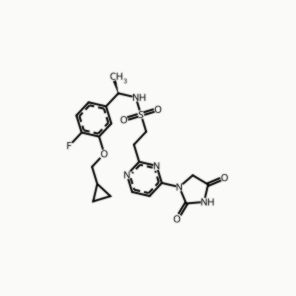 C[C@@H](NS(=O)(=O)CCc1nccc(N2CC(=O)NC2=O)n1)c1ccc(F)c(OCC2CC2)c1